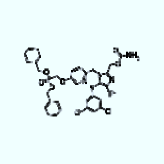 CC(C)c1nc(COC(N)=O)n(Cc2ccc(OCP(=O)(OCc3ccccc3)OCc3ccccc3)cn2)c1Sc1cc(Cl)cc(Cl)c1